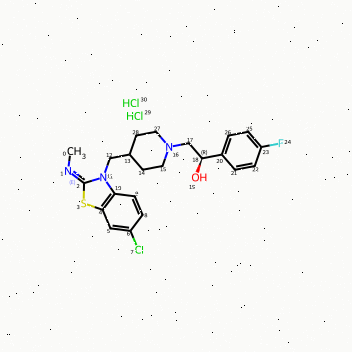 C/N=c1/sc2cc(Cl)ccc2n1CC1CCN(C[C@H](O)c2ccc(F)cc2)CC1.Cl.Cl